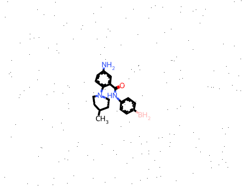 Bc1ccc(NC(=O)c2cc(N)ccc2N2CCC(C)CC2)cc1